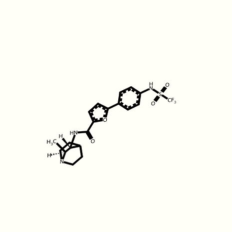 C[C@H]1[C@H](NC(=O)c2ccc(-c3ccc(NS(=O)(=O)C(F)(F)F)cc3)o2)C2CCN1CC2